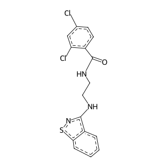 O=C(NCCNc1nsc2ccccc12)c1ccc(Cl)cc1Cl